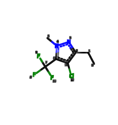 CCc1nn(C)c(C(F)(F)F)c1Cl